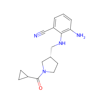 N#Cc1cccc(N)c1NC[C@@H]1CCN(C(=O)C2CC2)C1